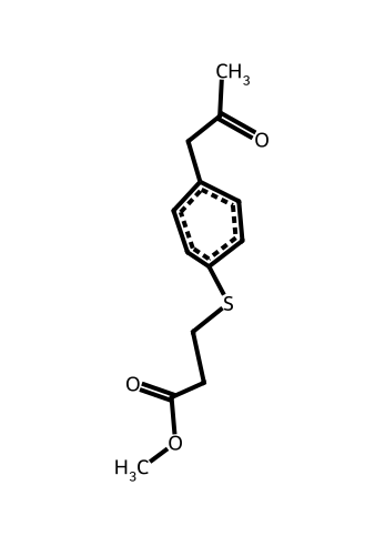 COC(=O)CCSc1ccc(CC(C)=O)cc1